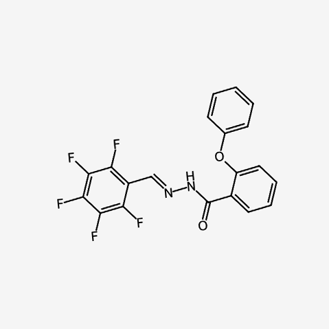 O=C(NN=Cc1c(F)c(F)c(F)c(F)c1F)c1ccccc1Oc1ccccc1